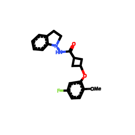 COc1ccc(F)cc1OC1CC(C(=O)NN2CCc3ccccc32)C1